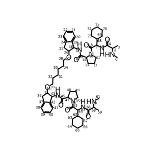 CNC(C)C(=O)NC(C(=O)N1CCCC1C(=O)NC1c2ccccc2CC1OCCCCCCOC1Cc2ccccc2C1NC(=O)C1CCCN1C(=O)C(NC(=O)C(C)NC)C1CCCCC1)C1CCCCC1